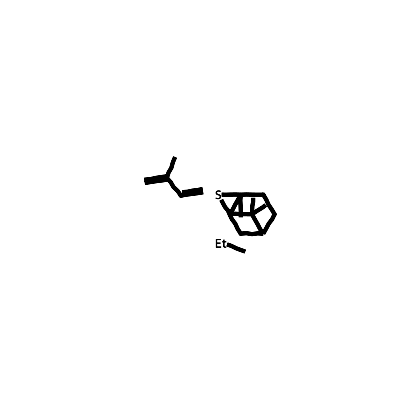 C=CC(=C)C.CC12CCC3CC1(S2)C3(C)C.CCC